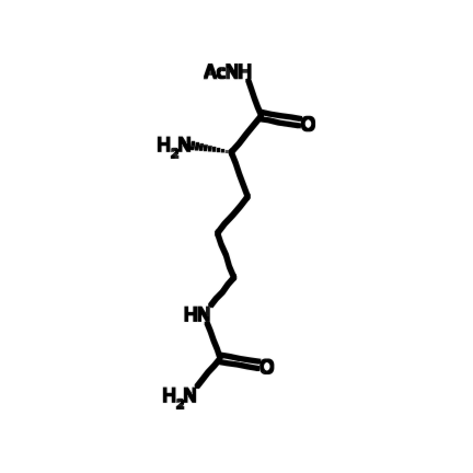 CC(=O)NC(=O)[C@@H](N)CCCNC(N)=O